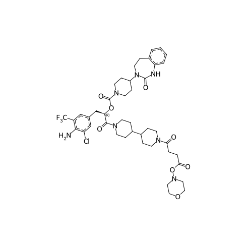 Nc1c(Cl)cc(C[C@@H](OC(=O)N2CCC(N3CCc4ccccc4NC3=O)CC2)C(=O)N2CCC(C3CCN(C(=O)CCC(=O)ON4CCOCC4)CC3)CC2)cc1C(F)(F)F